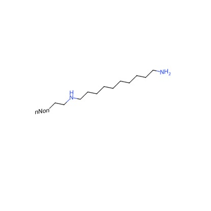 CCCCCCCCCCCNCCCCCCCCCCN